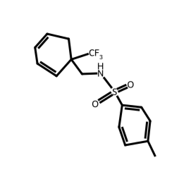 Cc1ccc(S(=O)(=O)NCC2(C(F)(F)F)C=CC=CC2)cc1